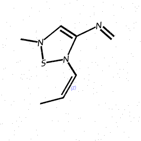 C=NC1=CN(C)SN1/C=C\C